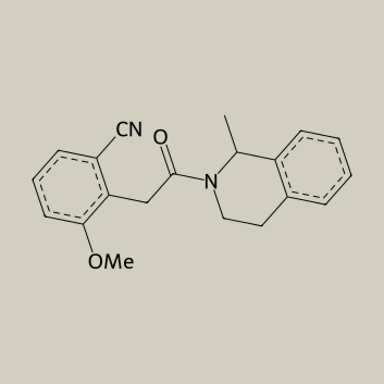 COc1cccc(C#N)c1CC(=O)N1CCc2ccccc2C1C